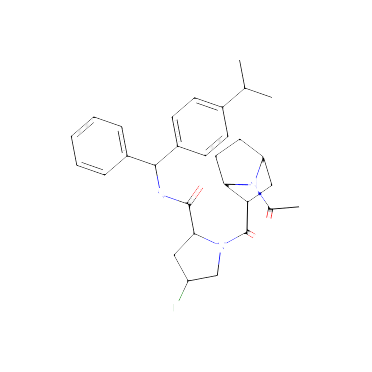 CC(=O)N1C2CCC1C(C(=O)N1CC(F)CC1C(=O)NC(c1ccccc1)c1ccc(C(C)C)cc1)C2